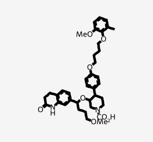 COCCCC(OC1CN(C(=O)O)CCC1c1ccc(OCCCCOc2c(C)cccc2OC)cc1)c1ccc2c(c1)NC(=O)CC2